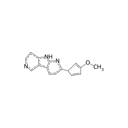 COC1=CC(c2ccc3c(n2)[nH]c2ccncc23)C=C1